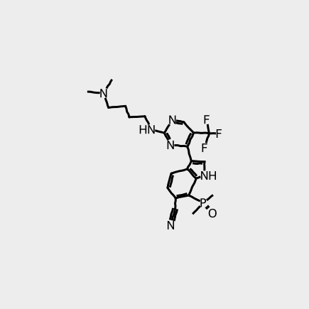 CN(C)CCCCNc1ncc(C(F)(F)F)c(-c2c[nH]c3c(P(C)(C)=O)c(C#N)ccc23)n1